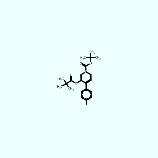 CC(C)(C)OC(=O)N1CC=C(c2ccc(F)cc2)C(OC(=O)C(C)(C)C)C1